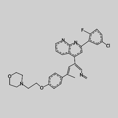 C=N/C=C(\C=C(/C)c1ccc(OCCN2CCOCC2)cc1)c1cc(-c2cc(Cl)ccc2F)nc2ncccc12